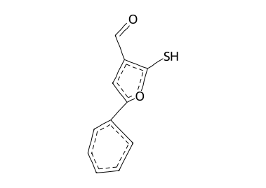 O=Cc1cc(-c2ccccc2)oc1S